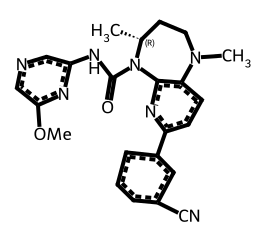 COc1cncc(NC(=O)N2c3nc(-c4cccc(C#N)c4)ccc3N(C)CC[C@H]2C)n1